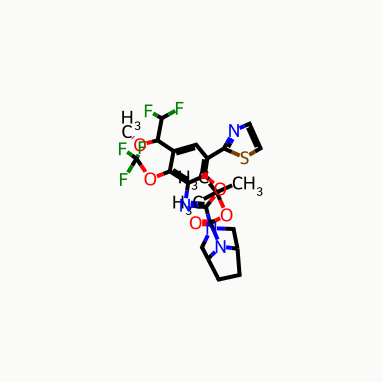 COC(c1cc(-c2nccs2)c2oc(N3CC4CCC(C3)N4C(=O)OC(C)(C)C)nc2c1OC(F)(F)F)C(F)F